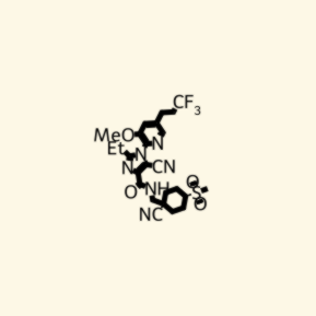 CCc1nc(C(=O)NC[C@]2(C#N)CC[C@@H](S(C)(=O)=O)CC2)c(C#N)n1-c1ncc(CCC(F)(F)F)cc1OC